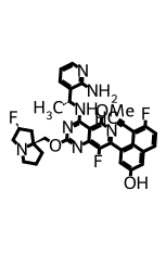 C#Cc1c(F)ccc2cc(O)cc(-c3nc(OC)c4c(N[C@H](C)c5cccnc5N)nc(OC[C@@]56CCCN5C[C@H](F)C6)nc4c3F)c12